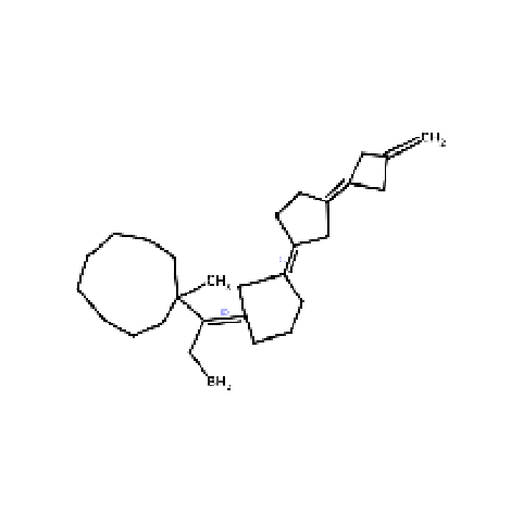 BC/C(=C1\CCC/C(=C2/CCC(=C3CC(=C)C3)C2)C1)C1(C)CCCCCCCC1